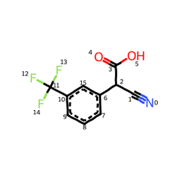 N#CC(C(=O)O)c1cccc(C(F)(F)F)c1